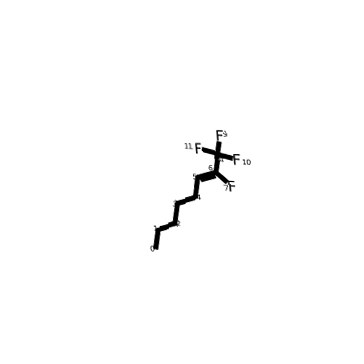 CCCCCC=C(F)C(F)(F)F